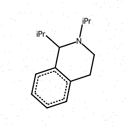 CC(C)C1c2ccccc2CCN1C(C)C